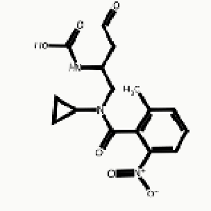 Cc1cccc([N+](=O)[O-])c1C(=O)N(CC(CC=O)NC(=O)O)C1CC1